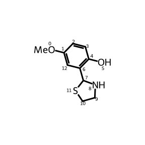 COc1ccc(O)c(C2NCCS2)c1